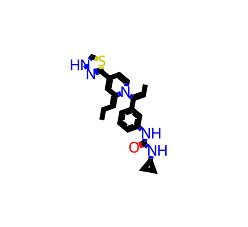 C/C=C(/c1cccc(NC(=O)NC2CC2)c1)N1C=CC(C2=NNCS2)=C/C1=C\CC